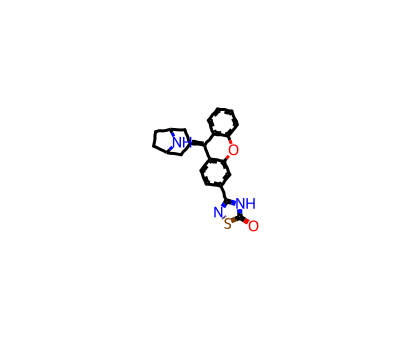 O=c1[nH]c(-c2ccc3c(c2)Oc2ccccc2C3=C2CC3CCC(C2)N3)ns1